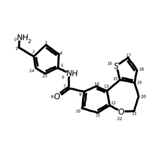 NCc1ccc(NC(=O)c2ccc3c(c2)-c2sccc2CCO3)cc1